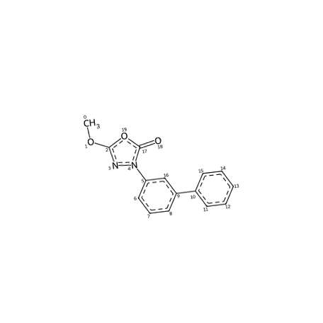 COc1nn(-c2cccc(-c3ccccc3)c2)c(=O)o1